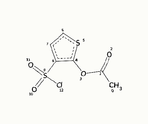 CC(=O)Oc1sccc1S(=O)(=O)Cl